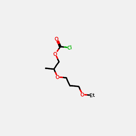 CCOCCCOC(C)COC(=O)Cl